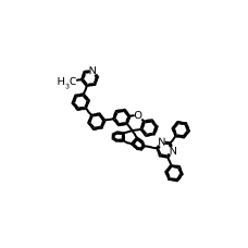 Cc1cnccc1-c1cccc(-c2cccc(-c3ccc4c(c3)C3(c5ccccc5O4)c4ccccc4-c4ccc(-c5cc(-c6ccccc6)nc(-c6ccccc6)n5)cc43)c2)c1